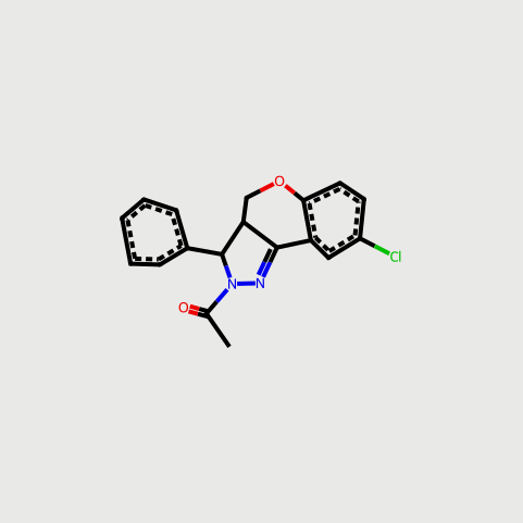 CC(=O)N1N=C2c3cc(Cl)ccc3OCC2C1c1ccccc1